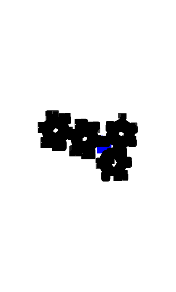 C1=Cc2c(c3ccccc3n2-c2ccc(-c3ccccc3)cc2)CC1